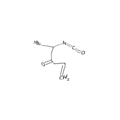 C=CC(=O)C(CCCC)N=C=O